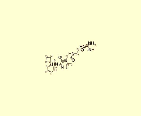 Cc1cnc(NCC2(c3ccccc3)CCC2)c(=O)n1CC(=O)NCCONC(=N)N